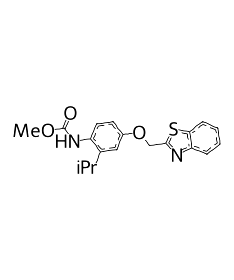 COC(=O)Nc1ccc(OCc2nc3ccccc3s2)cc1C(C)C